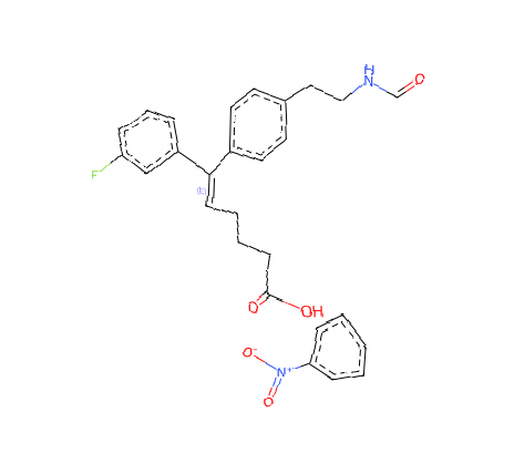 O=CNCCc1ccc(/C(=C\CCCC(=O)O)c2cccc(F)c2)cc1.O=[N+]([O-])c1ccccc1